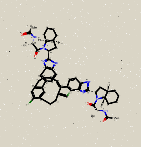 CC[C@H](C)[C@H](NC(=O)OC)C(=O)N1[C@H](c2nc3cc(/C4=C/CCCc5cc(F)c(cc5-c5ccc6[nH]c([C@@H]7C[C@@H]8CCCC[C@@H]8N7C(=O)[C@@H](NC(=O)OC)[C@@H](C)CC)nc6c5)CC\C4=C\F)ccc3[nH]2)C[C@@H]2CCCC[C@@H]21